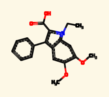 CCn1c(C(=O)O)c(-c2ccccc2)c2cc(OC)c(OC)cc21